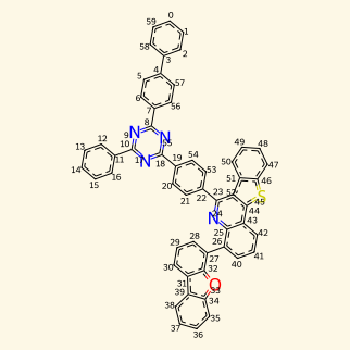 c1ccc(-c2ccc(-c3nc(-c4ccccc4)nc(-c4ccc(-c5nc6c(-c7cccc8c7oc7ccccc78)cccc6c6sc7ccccc7c56)cc4)n3)cc2)cc1